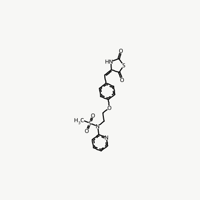 CS(=O)(=O)N(CCOc1ccc(C=C2NC(=O)SC2=O)cc1)c1ccccn1